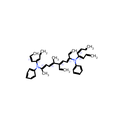 C=C/C=C\C(=C/C=C)N(/C(C=C)=C/C=C(C=C)/C(C)=C/C=C(\C)N(C(/C=C\C)=C/C=C)c1ccccc1)c1ccccc1